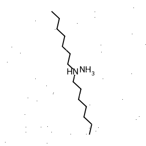 CCCCCCCNCCCCCCC.N